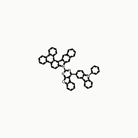 c1ccc(-n2c3ccccc3c3cc(-c4nc(-n5c6cc7ccccc7cc6c6c7c8ccccc8c8ccccc8c7ccc65)nc5oc6ccccc6c45)ccc32)cc1